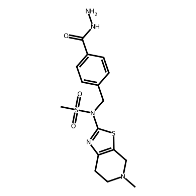 CN1CCc2nc(N(Cc3ccc(C(=O)NN)cc3)S(C)(=O)=O)sc2C1